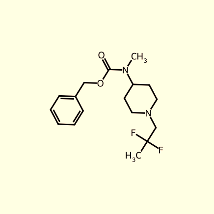 CN(C(=O)OCc1ccccc1)C1CCN(CC(C)(F)F)CC1